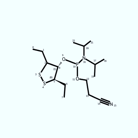 CCC1SS[C@H](CC)[C@H]1OP(OCCC#N)N(C(C)C)C(C)C